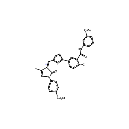 CCOC(=O)c1ccc(N2N=C(C)/C(=C/c3ccc(-c4ccc(Cl)c(C(=O)Nc5cccc(OC)c5)c4)s3)C2=O)cc1